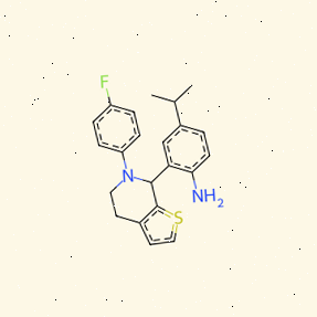 CC(C)c1ccc(N)c(C2c3sccc3CCN2c2ccc(F)cc2)c1